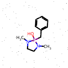 CN1CCN(C)[P]1(O)Cc1ccccc1